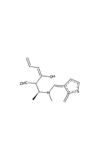 C=C/C=C(/O)C(C=O)[C@H](C)N(C)/C=c1/ccsc1=C